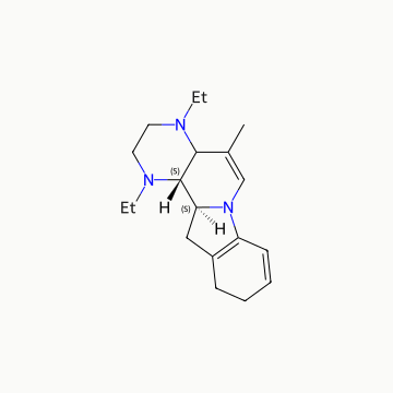 CCN1CCN(CC)[C@@H]2C1C(C)=CN1C3=C(CCC=C3)C[C@@H]21